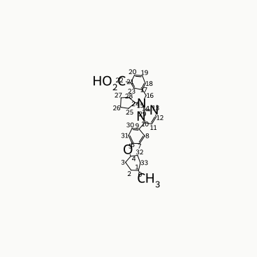 CC1CCC(Oc2ccc(-c3ccnc(N(Cc4cccc(C(=O)O)c4)C4CCCC4)n3)cc2)CC1